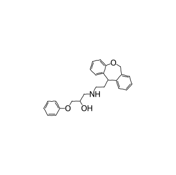 OC(CNCCC1c2ccccc2COc2ccccc21)COc1ccccc1